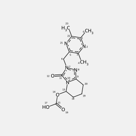 Cc1nc(C)c(Cn2nc3n(c2=O)C(OC(=O)O)CCC3)nc1C